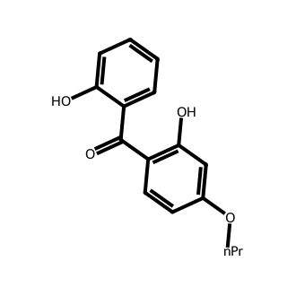 CCCOc1ccc(C(=O)c2ccccc2O)c(O)c1